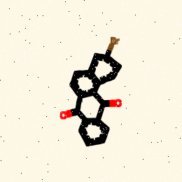 O=C1c2ccccc2C(=O)c2c1ccc1cc(Br)ccc21